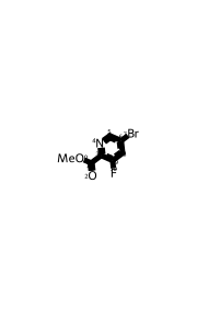 COC(=O)c1ncc(Br)cc1F